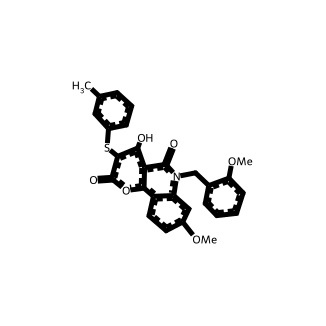 COc1ccc2c3oc(=O)c(Sc4cccc(C)c4)c(O)c3c(=O)n(Cc3ccccc3OC)c2c1